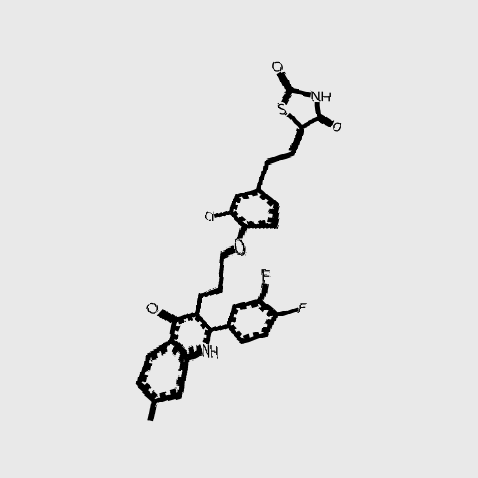 Cc1ccc2c(=O)c(CCCOc3ccc(CC=C4SC(=O)NC4=O)cc3Cl)c(-c3ccc(F)c(F)c3)[nH]c2c1